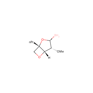 B[C@@H]1O[C@@]2(CCC)CO[C@H]2[C@H]1OC